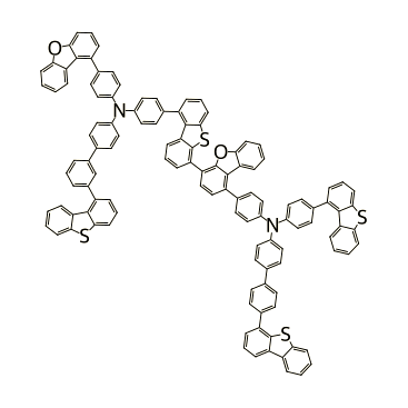 c1cc(-c2ccc(N(c3ccc(-c4cccc5oc6ccccc6c45)cc3)c3ccc(-c4cccc5sc6c(-c7ccc(-c8ccc(N(c9ccc(-c%10ccc(-c%11cccc%12c%11sc%11ccccc%11%12)cc%10)cc9)c9ccc(-c%10cccc%11sc%12ccccc%12c%10%11)cc9)cc8)c8c7oc7ccccc78)cccc6c45)cc3)cc2)cc(-c2cccc3sc4ccccc4c23)c1